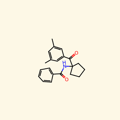 Cc1cc(C)cc(C(=O)C2(NC(=O)c3ccccc3)CCCC2)c1